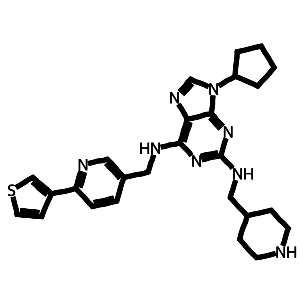 c1cc(-c2ccc(CNc3nc(NCC4CCNCC4)nc4c3ncn4C3CCCC3)cn2)cs1